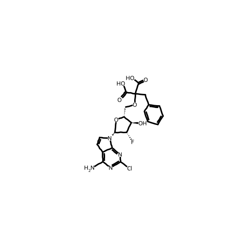 Nc1nc(Cl)nc2c1ccn2[C@@H]1O[C@H](COC(Cc2ccccc2)(C(=O)O)C(=O)O)[C@@H](O)[C@@H]1F